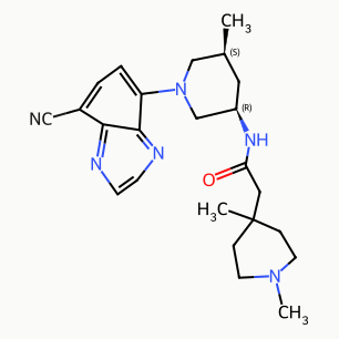 C[C@H]1C[C@@H](NC(=O)CC2(C)CCN(C)CC2)CN(c2ccc(C#N)c3nccnc23)C1